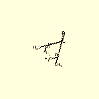 CCCCCC(CCCCC)CC(=O)OCCCCCCCCC(CCCCCCCCOC(=O)CC(CCCCC)CCCCC)C(=O)OCCCN1CCCC1